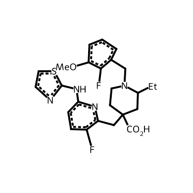 CCC1CC(Cc2nc(Nc3nccs3)ccc2F)(C(=O)O)CCN1Cc1cccc(OC)c1F